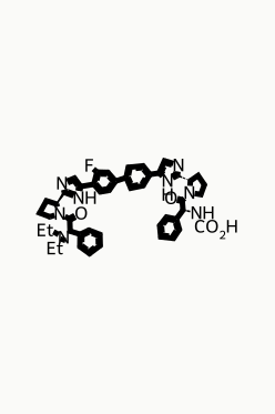 CCN(CC)[C@@H](C(=O)N1CCC[C@H]1c1ncc(-c2ccc(-c3ccc(-c4cnc([C@@H]5CCCN5C(=O)[C@H](NC(=O)O)c5ccccc5)[nH]4)cc3)cc2F)[nH]1)c1ccccc1